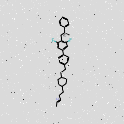 C/C=C/CCC1CCC(CCc2ccc(-c3cc(F)c(C[C@H](C)c4ccccc4)c(F)c3)cc2)CC1